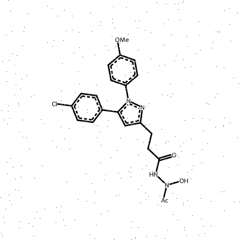 COc1ccc(-n2nc(CCC(=O)NN(O)C(C)=O)cc2-c2ccc(Cl)cc2)cc1